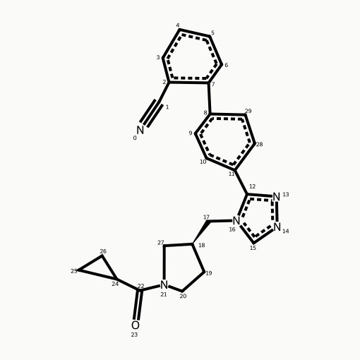 N#Cc1ccccc1-c1ccc(-c2nncn2C[C@H]2CCN(C(=O)C3CC3)C2)cc1